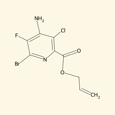 C=CCOC(=O)c1nc(Br)c(F)c(N)c1Cl